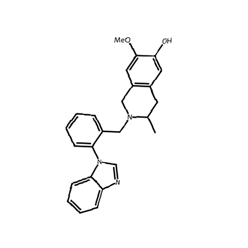 COc1cc2c(cc1O)CC(C)N(Cc1ccccc1-n1cnc3ccccc31)C2